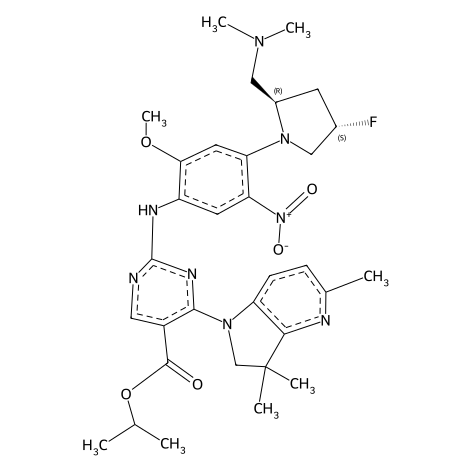 COc1cc(N2C[C@@H](F)C[C@@H]2CN(C)C)c([N+](=O)[O-])cc1Nc1ncc(C(=O)OC(C)C)c(N2CC(C)(C)c3nc(C)ccc32)n1